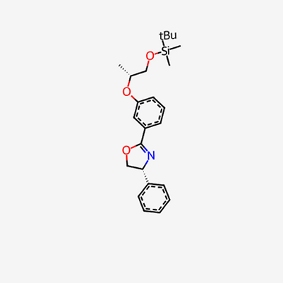 C[C@H](CO[Si](C)(C)C(C)(C)C)Oc1cccc(C2=N[C@H](c3ccccc3)CO2)c1